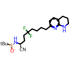 CC(C)(C)[S+]([O-])N[C@H](C#N)CCC(F)(F)CCCCc1ccc2c(n1)NCCC2